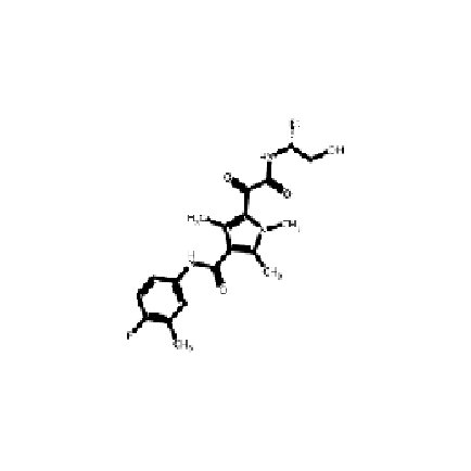 CC[C@H](CO)NC(=O)C(=O)c1c(C)c(C(=O)Nc2ccc(F)c(C)c2)c(C)n1C